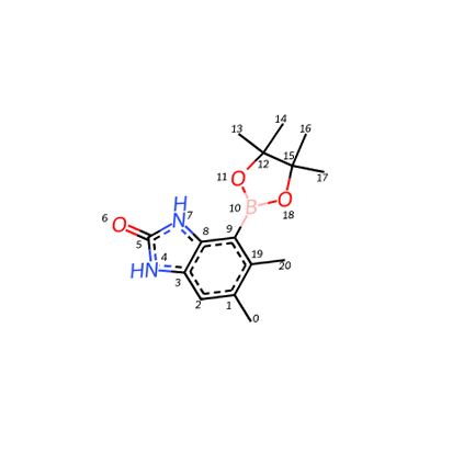 Cc1cc2[nH]c(=O)[nH]c2c(B2OC(C)(C)C(C)(C)O2)c1C